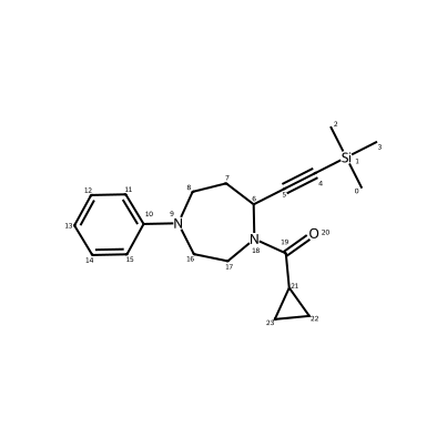 C[Si](C)(C)C#CC1CCN(c2ccccc2)CCN1C(=O)C1CC1